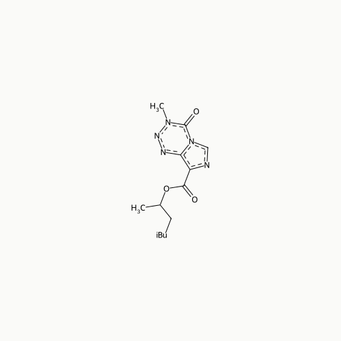 CCC(C)CC(C)OC(=O)c1ncn2c(=O)n(C)nnc12